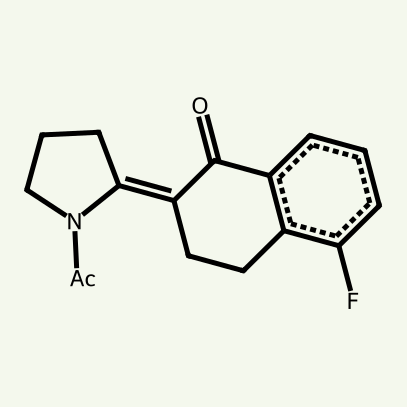 CC(=O)N1CCC/C1=C1/CCc2c(F)cccc2C1=O